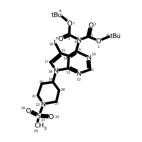 CC(C)(C)OC(=O)N(C(=O)OC(C)(C)C)c1ncnc2c1c(I)cn2C1CCN(S(C)(=O)=O)CC1